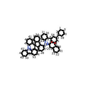 c1ccc(-c2cccc(-c3ccccc3N(c3ccc4ccccc4c3)c3cccc4c3-c3ccccc3C43c4ccccc4-n4c5ccccc5c5cccc3c54)c2)cc1